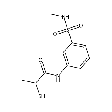 CNS(=O)(=O)c1cccc(NC(=O)C(C)S)c1